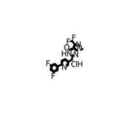 Cl.Cn1nc(C(F)F)c2c(=O)[nH]c(Cc3ccc(-c4cc(F)cc(F)c4)nc3)nc21